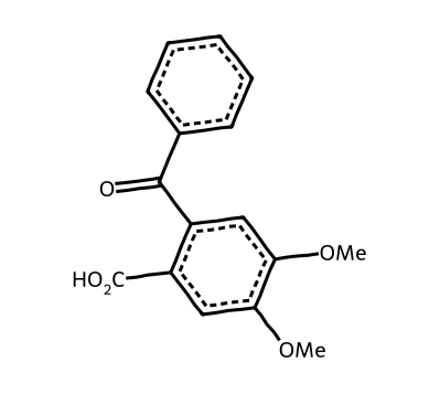 COc1cc(C(=O)O)c(C(=O)c2ccccc2)cc1OC